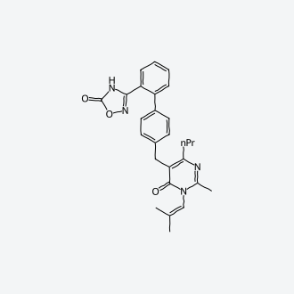 CCCc1nc(C)n(C=C(C)C)c(=O)c1Cc1ccc(-c2ccccc2-c2noc(=O)[nH]2)cc1